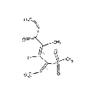 C=CC(=O)/C(C)=C(F)/C(=C\C)S(C)(=O)=O